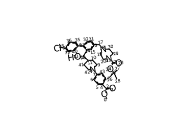 COC(=O)c1ccc(N2CCC([C@H](O)c3cc(CN4CCN(C(=O)OC(C)(C)C)CC4)ccc3-c3ccc(Cl)cc3)CC2)cc1